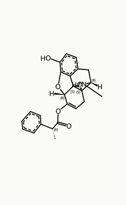 C[C@@H](C(=O)OC1=CC[C@@]2(O)[C@H]3Cc4ccc(O)c5c4[C@@]2(CCN3C)[C@H]1O5)c1ccccc1